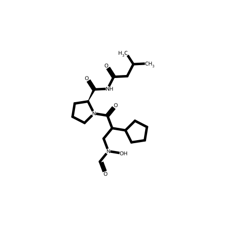 CC(C)CC(=O)NC(=O)[C@@H]1CCCN1C(=O)C(CN(O)C=O)C1CCCC1